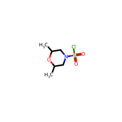 CC1CN(S(=O)(=O)Cl)CC(C)O1